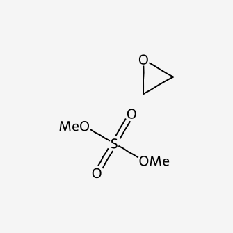 C1CO1.COS(=O)(=O)OC